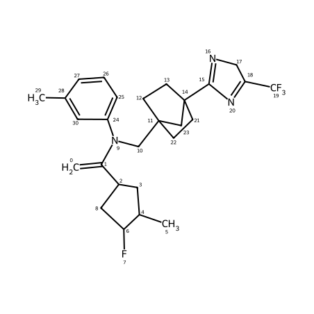 C=C(C1CC(C)C(F)C1)N(CC12CCC(C3=NCC(C(F)(F)F)=N3)(CC1)C2)c1cccc(C)c1